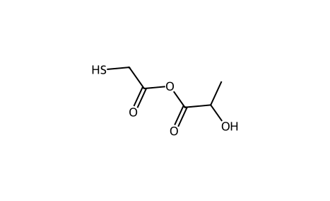 CC(O)C(=O)OC(=O)CS